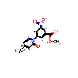 COC(=O)c1cc(-n2ccc(C)cc2=O)cc([N+](=O)[O-])c1